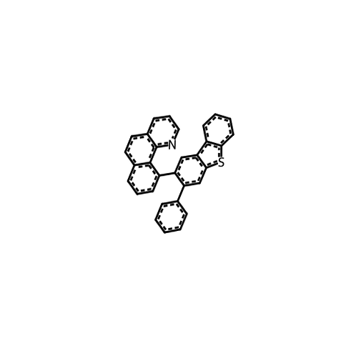 c1ccc(-c2cc3sc4ccccc4c3cc2-c2cccc3ccc4cccnc4c23)cc1